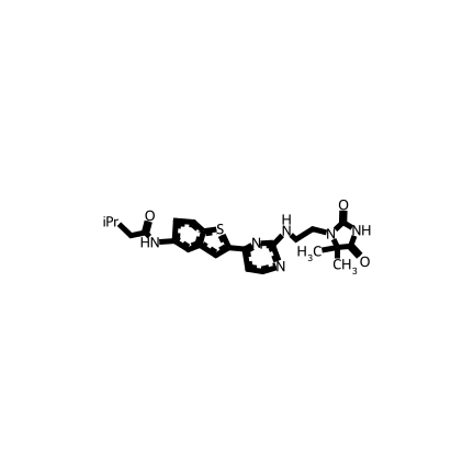 CC(C)CC(=O)Nc1ccc2sc(-c3ccnc(NCCN4C(=O)NC(=O)C4(C)C)n3)cc2c1